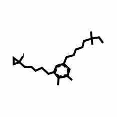 CCC(C)(C)CCCCCc1cc(C)c(C)c(CCCCCC2(I)CC2)c1